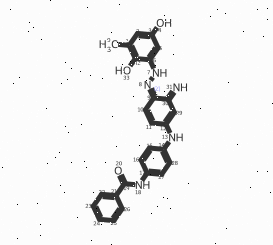 Cc1cc(O)cc(N/N=C2/C=CC(Nc3ccc(NC(=O)c4ccccc4)cc3)=CC2=N)c1O